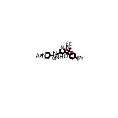 CCN1CC(C)([C@](O)(c2ccc(C(C)C)cc2)c2cncc(-c3noc(C4CCN(C(C)=O)CC4)n3)c2)C1